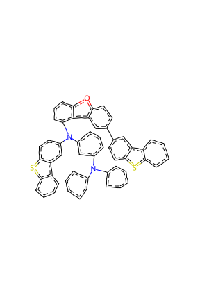 c1ccc(N(c2ccccc2)c2cccc(N(c3ccc4sc5ccccc5c4c3)c3cccc4oc5ccc(-c6ccc7sc8ccccc8c7c6)cc5c34)c2)cc1